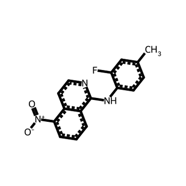 Cc1ccc(Nc2nccc3c([N+](=O)[O-])cccc23)c(F)c1